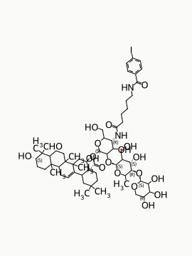 CC1O[C@@H](OC2C(O)[C@@H](NC(=O)CCCCCNC(=O)c3ccc(I)cc3)C(CO)O[C@H]2OC(=O)[C@]23CCC(C)(C)CC2C2=CCC4C5(C)CC[C@H](O)C(C)(C=O)C5CCC4(C)C2(C)CC3O)C(CO)[C@H](O)[C@H]1O[C@@H]1OC[C@@H](O)C(O)C1O